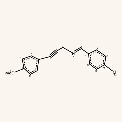 COc1ccc(C#CCN=Cc2ccc(Cl)cc2)cc1